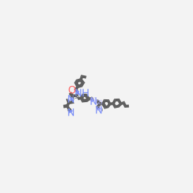 C=C(C#N)C1CN(C(=C)[C@H](Cc2ccc(/C=N/C=C(\C=N/C)C3=CCC(C4CCC(CCC)CC4)CC3)cc2)NC(=O)c2ccc(CC)cc2)C1